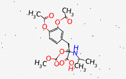 COC(=O)O[C@](Cc1ccc(OC(C)=O)c(OC(C)=O)c1)(NC(C)C)C(=O)O